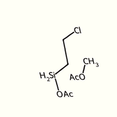 CC(=O)O[SiH2]CCCl.COC(C)=O